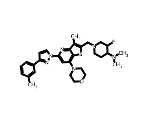 Cc1cccc(-c2ccn(-c3cc(N4CCOCC4)c4sc(CN5CCC(N(C)C)C(F)C5)c(C)c4n3)n2)c1